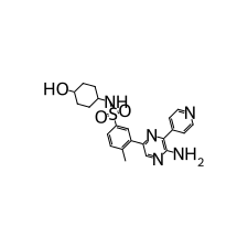 Cc1ccc(S(=O)(=O)NC2CCC(O)CC2)cc1-c1cnc(N)c(-c2ccncc2)n1